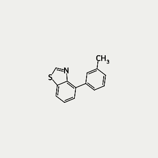 Cc1cccc(-c2cccc3scnc23)c1